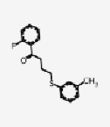 Cc1cccc(SCCCC(=O)c2ccccc2F)c1